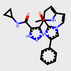 CC1C/C=C(NC(=O)c2nn[nH]c2C(=O)NC2CC2)/C=C\n2cc(-c3ccccc3)nc21